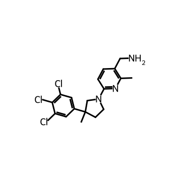 Cc1nc(N2CCC(C)(c3cc(Cl)c(Cl)c(Cl)c3)C2)ccc1CN